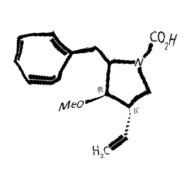 C=C[C@H]1CN(C(=O)O)C(Cc2ccccc2)[C@@H]1OC